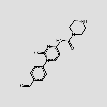 O=Cc1ccc(-n2ccc(NC(=O)N3CCNCC3)nc2=O)cc1